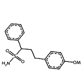 COc1ccc(CCC(c2ccccc2)S(N)(=O)=O)cc1